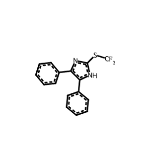 FC(F)(F)Sc1nc(-c2ccccc2)c(-c2ccccc2)[nH]1